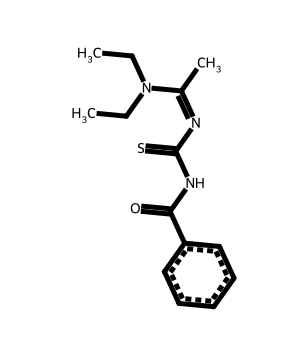 CCN(CC)/C(C)=N\C(=S)NC(=O)c1ccccc1